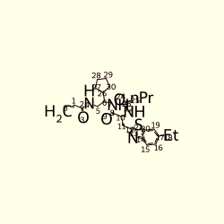 C=CC(=O)NCC(NC(=O)[C@H](Cc1nc2ccc(CC)cc2s1)NC(=O)CCC)C1CCCC1